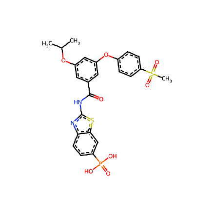 CC(C)Oc1cc(Oc2ccc(S(C)(=O)=O)cc2)cc(C(=O)Nc2nc3ccc(P(=O)(O)O)cc3s2)c1